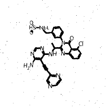 CC(Nc1ncnc(N)c1C#Cc1cnccn1)c1nc2cccc(Cl)c2c(=O)n1-c1cccc(CN[SH](=O)=O)c1